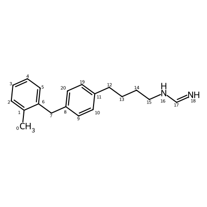 Cc1ccccc1Cc1ccc(CCCCNC=N)cc1